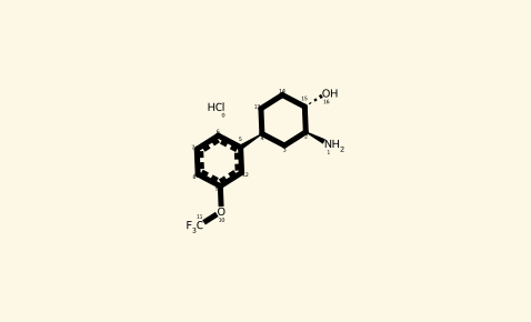 Cl.N[C@H]1C[C@@H](c2cccc(OC(F)(F)F)c2)CC[C@@H]1O